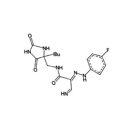 CCC(C)C1(CNC(=O)/C(C=N)=N/Nc2ccc(F)cc2)NC(=O)NC1=O